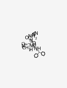 CN1CCC[C@H]1CCC(NC(=O)CNCCC(c1ccccc1)c1ccccc1)C(=O)N(CCn1ccnc1)CC(N)=O